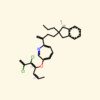 C=C(CCC1(CCC)Cc2ccccc2[C@H]1C)C1=CC=C=C(OC(/C=C\C)=C(\Cl)C(=C)Cl)C=N1